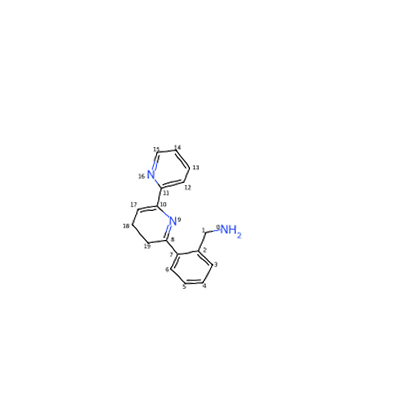 NCc1ccccc1C1=NC(c2ccccn2)=CCC1